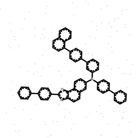 c1ccc(-c2ccc(-c3nc4ccc5cc(N(c6ccc(-c7ccccc7)cc6)c6cccc(-c7ccc(-c8cccc9ccccc89)cc7)c6)ccc5c4o3)cc2)cc1